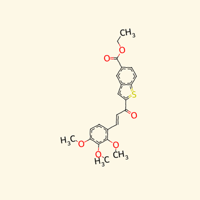 CCOC(=O)c1ccc2sc(C(=O)/C=C/c3ccc(OC)c(OC)c3OC)cc2c1